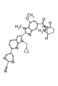 COc1cc(C(=O)N2C[C@H]3CC[C@@H]2[C@@H]3N)cc2nc(-c3cc4ccc(-c5cnc(C#N)nc5)nc4n3CC3CC3)n(C)c12